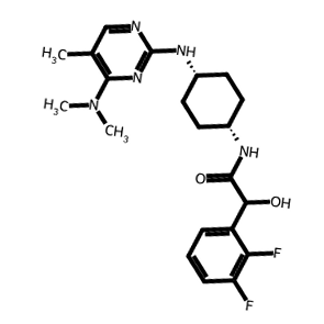 Cc1cnc(N[C@H]2CC[C@@H](NC(=O)C(O)c3cccc(F)c3F)CC2)nc1N(C)C